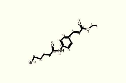 CCOC(=O)C=Cc1ccc(NC(=O)CCCCBr)cc1